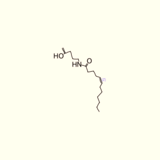 C=C(O)CCCNC(=O)CCC/C=C\CCCCCC